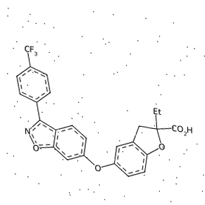 CCC1(C(=O)O)Cc2cc(Oc3ccc4c(-c5ccc(C(F)(F)F)cc5)noc4c3)ccc2O1